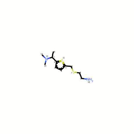 CC(c1ccc(CSCCN)s1)N(C)C